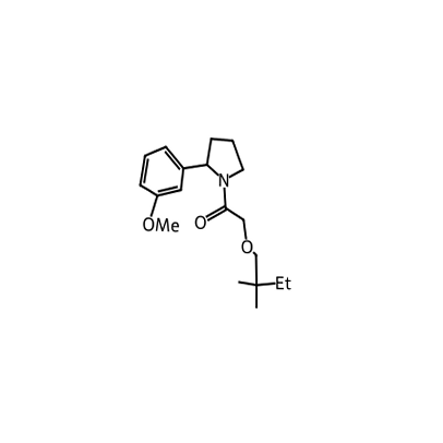 CCC(C)(C)COCC(=O)N1CCCC1c1cccc(OC)c1